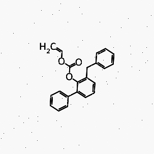 C=COC(=O)Oc1c(Cc2ccccc2)cccc1-c1ccccc1